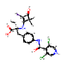 CC[C@@](Cc1ccc(NC(=O)c2c(Cl)cncc2Cl)cc1)(NC1=C(I)C(=O)C1(C)C)C(=O)O